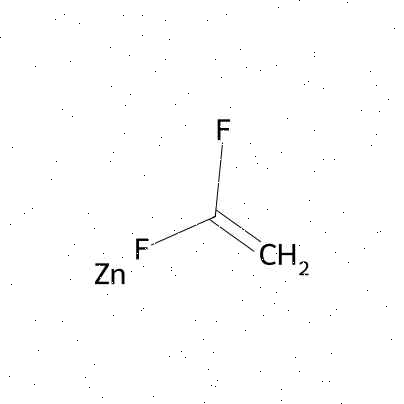 C=C(F)F.[Zn]